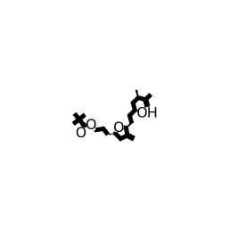 C=C(C)[C@H](C)C[C@H](O)CC[C@@H]1O[C@@H](CCCOC(=O)C(C)(C)C)CC1=C